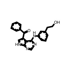 O=C(c1ccccc1)c1c[nH]c2ncnc(Nc3cccc(CCO)c3)c12